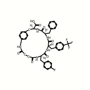 O=C1CCC(=O)N[C@H](Cc2ccc(F)cc2)C(=O)N[C@@H](Cc2ccc(C(F)(F)F)cc2)C(=O)N[C@H](Cc2ccccc2)C(=O)N[C@H](C(=O)O)Cc2ccc(cc2)N1